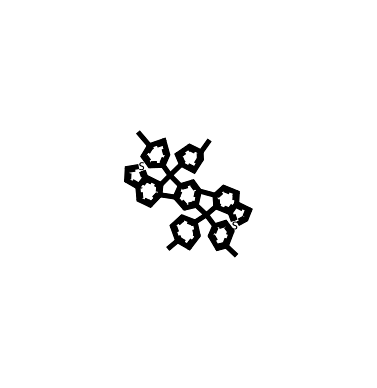 Cc1ccc(C2(c3ccc(C)cc3)c3cc4c(cc3-c3ccc5ccsc5c32)C(c2ccc(C)cc2)(c2ccc(C)cc2)c2c-4ccc3ccsc23)cc1